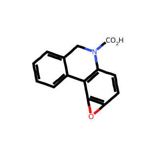 O=C(O)N1Cc2ccccc2-c2c1ccc1c2O1